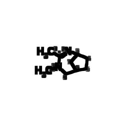 CC1=NC2CCC(C2)CN1C